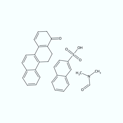 CN(C)C=O.O=C1CC=CC2=C1CCc1c2ccc2ccccc12.O=S(=O)(O)c1ccc2ccccc2c1